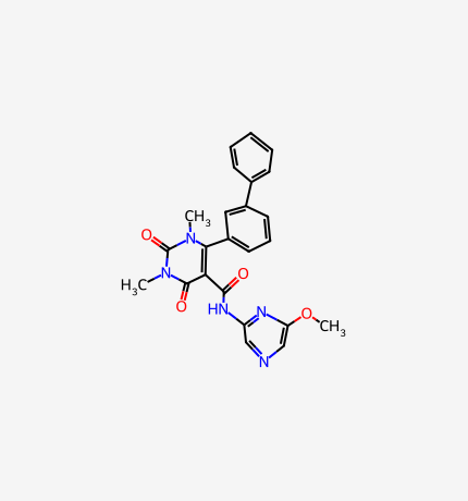 COc1cncc(NC(=O)c2c(-c3cccc(-c4ccccc4)c3)n(C)c(=O)n(C)c2=O)n1